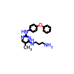 Cc1cnc(Nc2ccc(Oc3ccccc3)cc2)nc1NCCCN